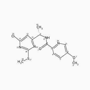 COc1ccc(C(=O)N[C@@H](C)c2cc(Cl)nc(SC)n2)nc1